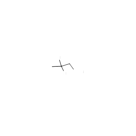 CC(C)(C)C(C)(CC(=O)O)C(=O)O